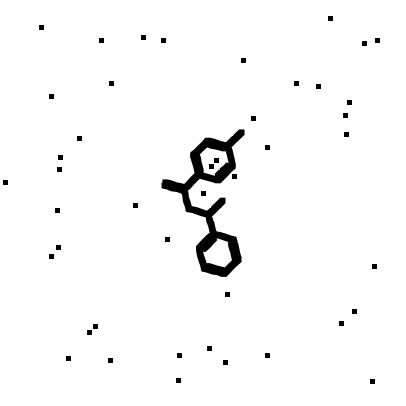 C=C(CC(C)c1ccccc1)c1ccc(C)cc1